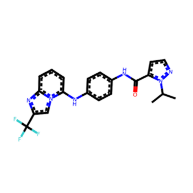 CC(C)n1nccc1C(=O)Nc1ccc(Nc2cccc3nc(C(F)(F)F)cn23)cc1